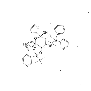 CC(C)(C)[Si](O[C@H]1[C@H](O)[C@@H](O[Si](c2ccccc2)(c2ccccc2)C(C)(C)C)[C@@](O)(c2ccco2)O[C@@H]1CO)(c1ccccc1)c1ccccc1